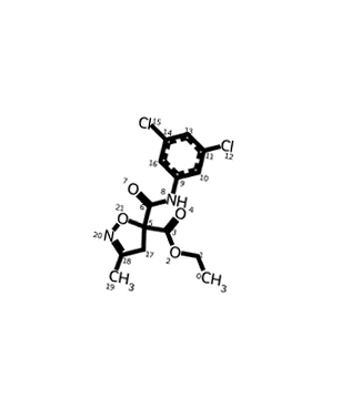 CCOC(=O)C1(C(=O)Nc2cc(Cl)cc(Cl)c2)CC(C)=NO1